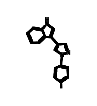 Cc1ccc(-n2cc(-c3c[nH]c4ccccc34)cn2)cc1